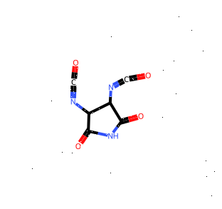 O=C=NC1C(=O)NC(=O)C1N=C=O